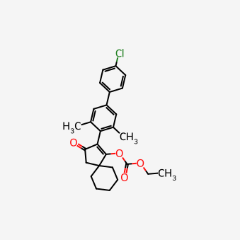 CCOC(=O)OC1=C(c2c(C)cc(-c3ccc(Cl)cc3)cc2C)C(=O)CC12CCCCC2